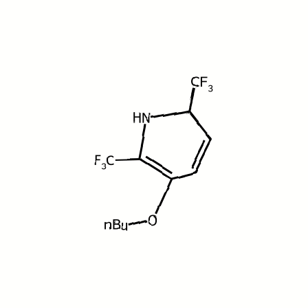 CCCCOC1=C(C(F)(F)F)NC(C(F)(F)F)C=C1